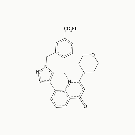 CCOC(=O)c1cccc(Cn2cc(-c3cccc4c(=O)cc(N5CCOCC5)n(C)c34)nn2)c1